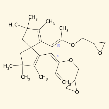 C=C/C(=C\C1=C(C)C(C)(C)CC12CC(C)(C)C(C)=C2/C=C(\C)OCC1CO1)OCC1CO1